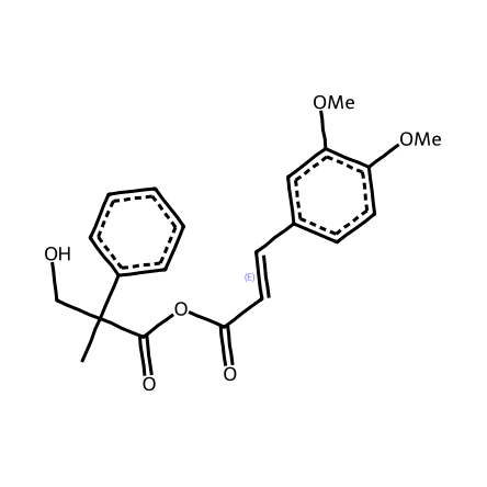 COc1ccc(/C=C/C(=O)OC(=O)C(C)(CO)c2ccccc2)cc1OC